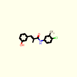 C/C(=C\c1cccc(O)c1)C(=O)Nc1ccc(Cl)c(C(F)(F)F)c1